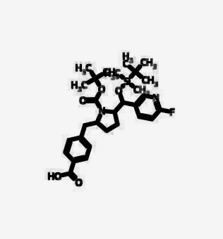 CC(C)(C)OC(=O)N1C(Cc2ccc(C(=O)O)cc2)CCC1C(O[Si](C)(C)C(C)(C)C)c1ccc(F)nc1